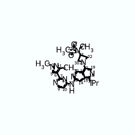 Cc1nn(C)cc1-c1nccc(Nc2cc3c(C(C)C)ncc(N4CC(N(C)S(C)(=O)=O)C4)c3cn2)n1